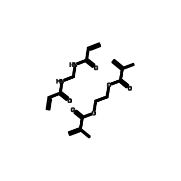 C=C(C)C(=O)OCCOC(=O)C(=C)C.C=CC(=O)NCNC(=O)C=C